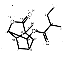 CCC(C)C(=O)OC1C2CC3C1OC(=O)C3(C)C2